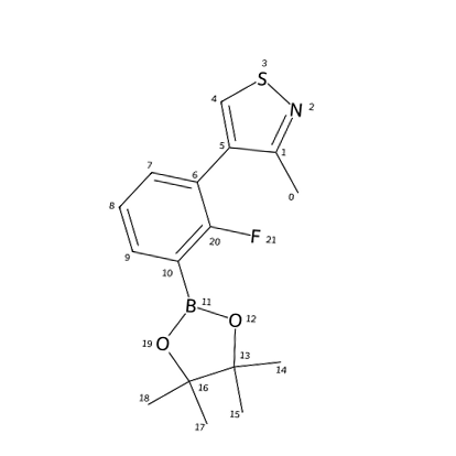 Cc1nscc1-c1cccc(B2OC(C)(C)C(C)(C)O2)c1F